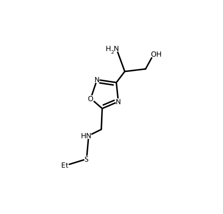 CCSNCc1nc(C(N)CO)no1